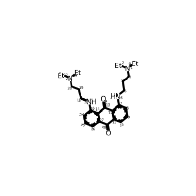 CCN(CC)CCCNc1cccc2c1C(=O)c1c(NCCCN(CC)CC)cccc1C2=O